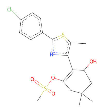 Cc1sc(-c2ccc(Cl)cc2)nc1C1=C(OS(C)(=O)=O)CC(C)(C)CC1O